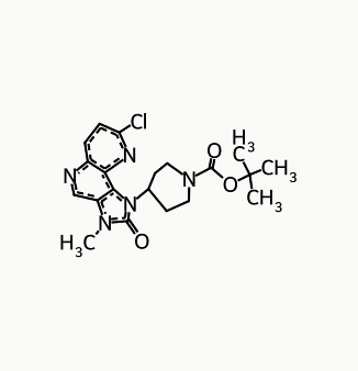 Cn1c(=O)n(C2CCN(C(=O)OC(C)(C)C)CC2)c2c3nc(Cl)ccc3ncc21